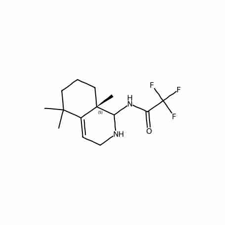 CC1(C)CCC[C@@]2(C)C1=CCNC2NC(=O)C(F)(F)F